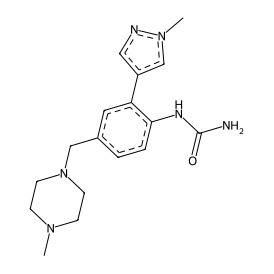 CN1CCN(Cc2ccc(NC(N)=O)c(-c3cnn(C)c3)c2)CC1